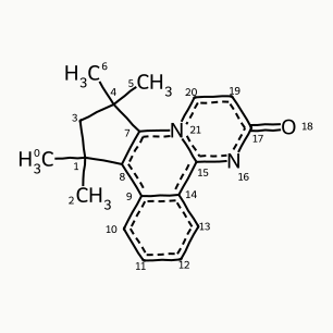 CC1(C)CC(C)(C)c2c1c1ccccc1c1nc(=O)ccn21